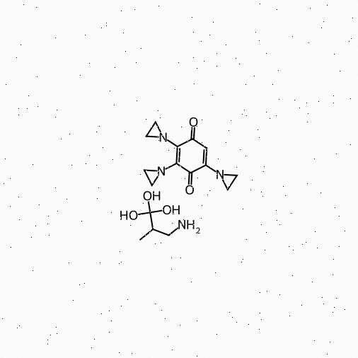 CC(CN)C(O)(O)O.O=C1C=C(N2CC2)C(=O)C(N2CC2)=C1N1CC1